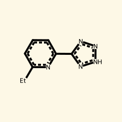 CCc1cccc(-c2nn[nH]n2)n1